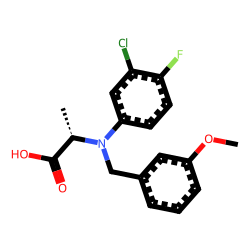 COc1cccc(CN(c2ccc(F)c(Cl)c2)[C@@H](C)C(=O)O)c1